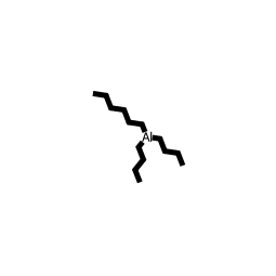 CCCCC[CH2][Al]([CH2]CCC)[CH2]CCC